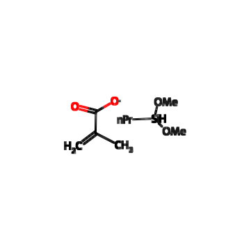 C=C(C)C([O])=O.CCC[SiH](OC)OC